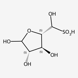 O=S(=O)(O)C(O)[C@H]1OC(O)[C@@H](O)[C@@H]1O